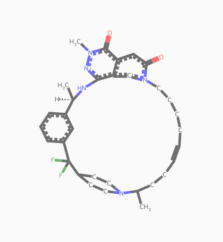 CC1CC/C=C\CCCCn2cc3c(nn(C)c(=O)c3cc2=O)N[C@H](C)c2cccc(c2)C(F)(F)C2CCN1CC2